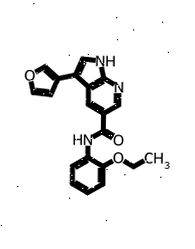 CCOc1ccccc1NC(=O)c1cnc2[nH]cc(-c3ccoc3)c2c1